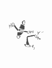 CCO.O=S(=O)(O)O.[Y]